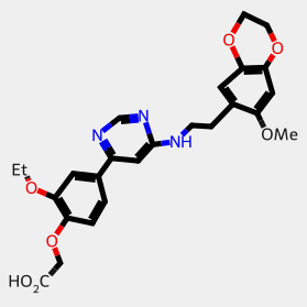 CCOc1cc(-c2cc(NCCc3cc4c(cc3OC)OCCO4)ncn2)ccc1OCC(=O)O